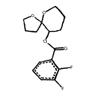 O=C(OC1CCCOC12CCCO2)c1cccc(F)c1F